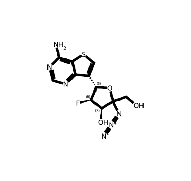 [N-]=[N+]=NC1(CO)O[C@@H](c2csc3c(N)ncnc23)[C@H](F)[C@@H]1O